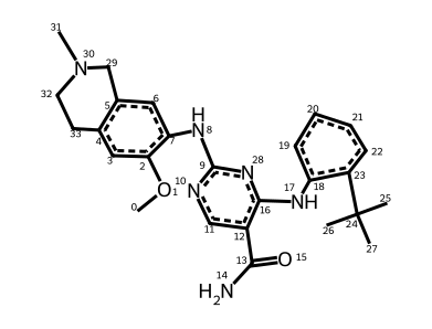 COc1cc2c(cc1Nc1ncc(C(N)=O)c(Nc3ccccc3C(C)(C)C)n1)CN(C)CC2